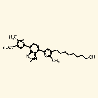 CCCCCCCCc1cc(-c2ccc(-c3cc(CCCCCCCCO)c(C)s3)c3nsnc23)sc1C